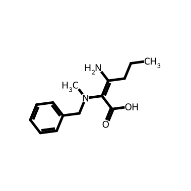 CCCC(N)=C(C(=O)O)N(C)Cc1ccccc1